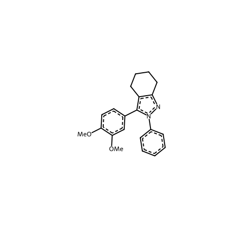 COc1ccc(-c2c3c(nn2-c2ccccc2)CCCC3)cc1OC